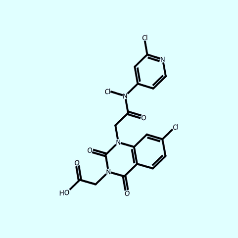 O=C(O)Cn1c(=O)c2ccc(Cl)cc2n(CC(=O)N(Cl)c2ccnc(Cl)c2)c1=O